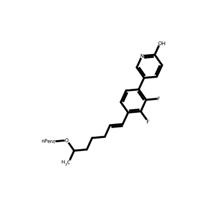 CCCCCOC(C)CCCC=Cc1ccc(-c2ccc(O)nc2)c(F)c1F